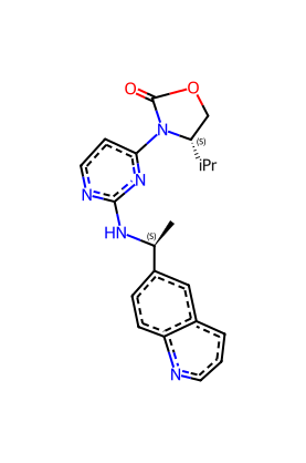 CC(C)[C@H]1COC(=O)N1c1ccnc(N[C@@H](C)c2ccc3ncccc3c2)n1